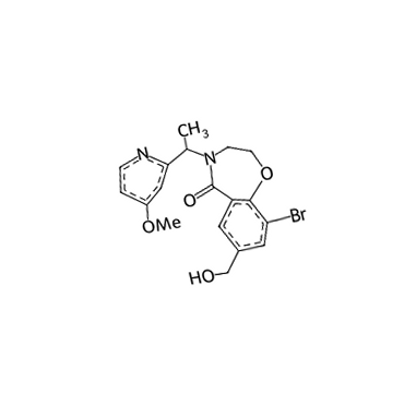 COc1ccnc(C(C)N2CCOc3c(Br)cc(CO)cc3C2=O)c1